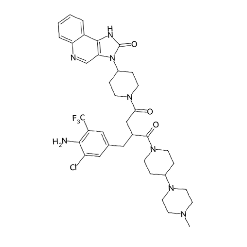 CN1CCN(C2CCN(C(=O)C(CC(=O)N3CCC(n4c(=O)[nH]c5c6ccccc6ncc54)CC3)Cc3cc(Cl)c(N)c(C(F)(F)F)c3)CC2)CC1